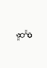 c1ccc(NC2CCc3[nH]ncc3C2)nc1